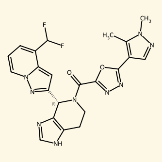 Cc1c(-c2nnc(C(=O)N3CCc4[nH]cnc4[C@@H]3c3cc4c(C(F)F)cccn4n3)o2)cnn1C